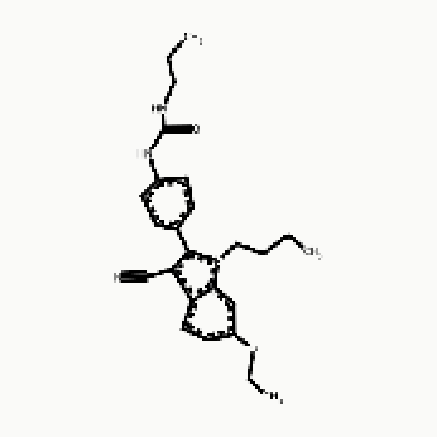 CCCCn1c(-c2ccc(NC(=O)NCCC)cc2)c(C#N)c2ccc(OCC)cc21